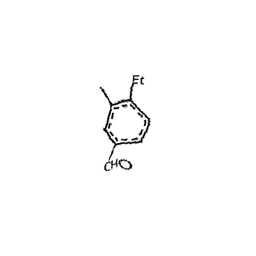 CCc1ccc(C=O)cc1C